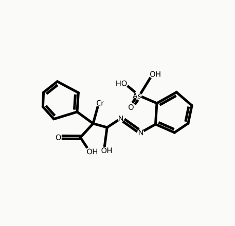 O=C(O)[C]([Cr])(c1ccccc1)C(O)N=Nc1ccccc1[As](=O)(O)O